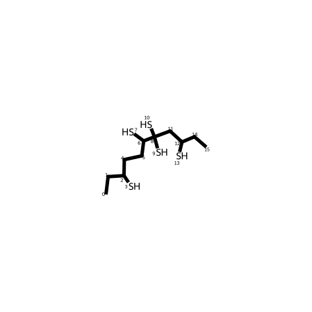 CCC(S)CCC(S)C(S)(S)CC(S)CC